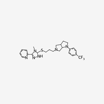 CN1C(c2ccccn2)=NNC1SCCCN1CC2CCN(c3ccc(C(F)(F)F)cc3)C2C1